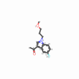 COCCCn1cc(C(C)=O)c2cc(F)ccc21